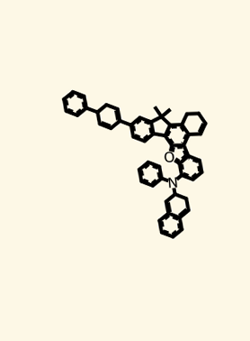 CC1(C)c2cc(C3=CCC(c4ccccc4)C=C3)ccc2-c2c1c1c(c3c2oc2c(N(c4ccccc4)C4C=c5ccccc5=CC4)cccc23)C=CCC1